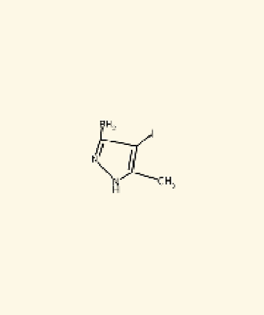 Bc1n[nH]c(C)c1I